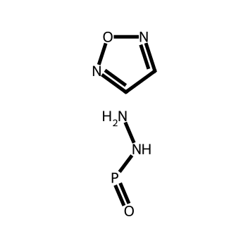 NNP=O.c1cnon1